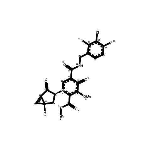 COc1c(C(=O)OC(C)C)n([C@H]2C[C@@H]3C=C3C2=O)cc(C(=O)NCc2ccc(F)c(Cl)c2F)c1=O